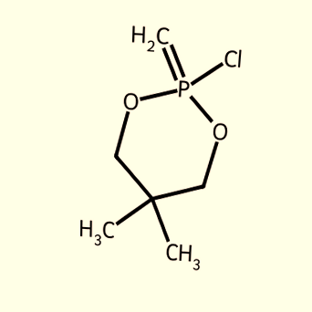 C=P1(Cl)OCC(C)(C)CO1